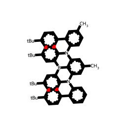 Cc1ccc(N2c3ccc(C(C)(C)C)cc3B3c4cc(C(C)(C)C)ccc4N(c4ccccc4-c4ccc(C(C)(C)C)cc4)c4cc(C)cc2c43)c(-c2ccc(C(C)(C)C)cc2)c1